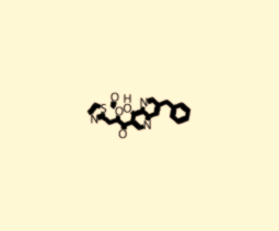 O=COC(Cc1nccs1)C(=O)c1cnc2cc(Cc3ccccc3)cnc2c1O